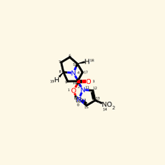 CC(C)(C)OC(=O)N1[C@@H]2CC[C@H]1CC(n1cc([N+](=O)[O-])cn1)C2